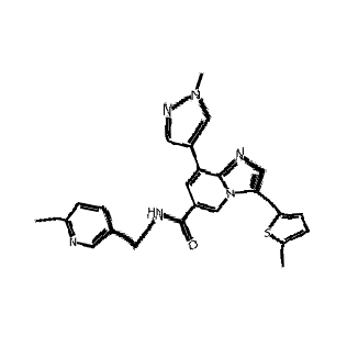 Cc1ccc(CNC(=O)c2cc(-c3cnn(C)c3)c3ncc(-c4ccc(C)s4)n3c2)cn1